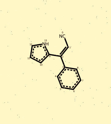 N#CC=C(c1ccccc1)c1ccc[nH]1